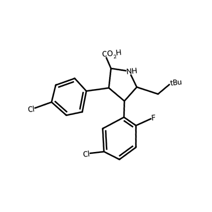 CC(C)(C)CC1NC(C(=O)O)C(c2ccc(Cl)cc2)C1c1cc(Cl)ccc1F